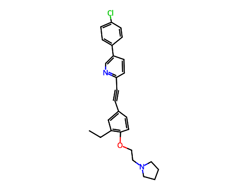 CCc1cc(C#Cc2ccc(-c3ccc(Cl)cc3)cn2)ccc1OCCN1CCCC1